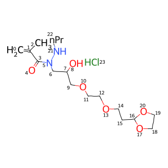 C=C(C)C(=O)N(CC(O)COCCOCCC1OCCO1)NCCC.Cl